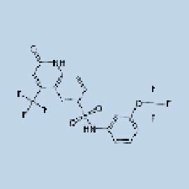 O=c1cc(C(F)(F)F)c2cc(S(=O)(=O)Nc3cccc(OC(F)(F)F)c3)ccc2[nH]1